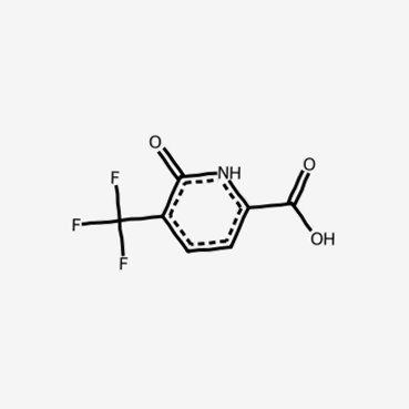 O=C(O)c1ccc(C(F)(F)F)c(=O)[nH]1